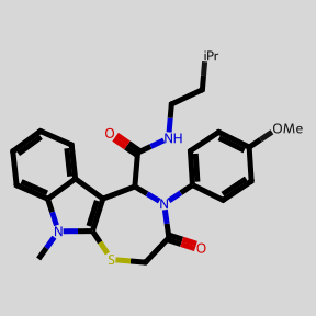 COc1ccc(N2C(=O)CSc3c(c4ccccc4n3C)C2C(=O)NCCC(C)C)cc1